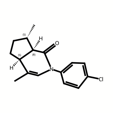 CC1=CN(c2ccc(Cl)cc2)C(=O)[C@H]2[C@@H]1CC[C@@H]2C